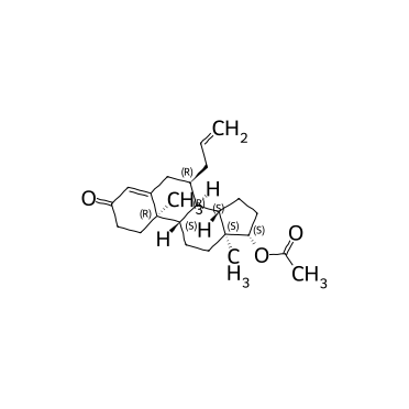 C=CC[C@@H]1CC2=CC(=O)CC[C@]2(C)[C@H]2CC[C@]3(C)[C@@H](OC(C)=O)CC[C@H]3[C@H]12